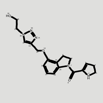 O=C(C1=CCCN1)N1CCc2c(OCc3cn(CCO)nn3)cccc21